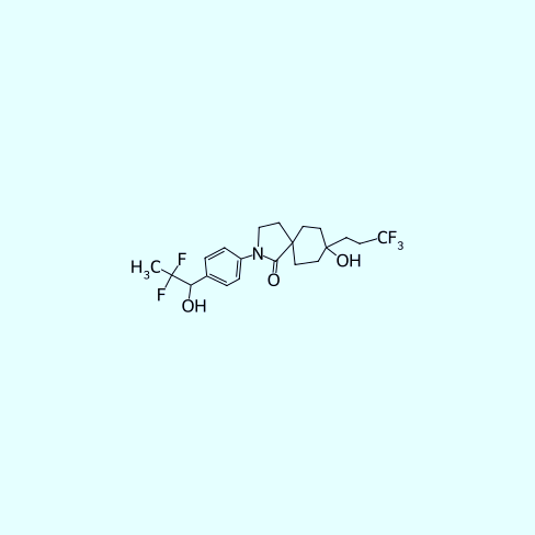 CC(F)(F)C(O)c1ccc(N2CCC3(CCC(O)(CCC(F)(F)F)CC3)C2=O)cc1